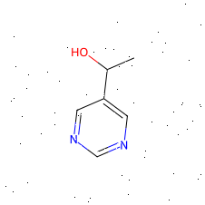 CC(O)c1cncnc1